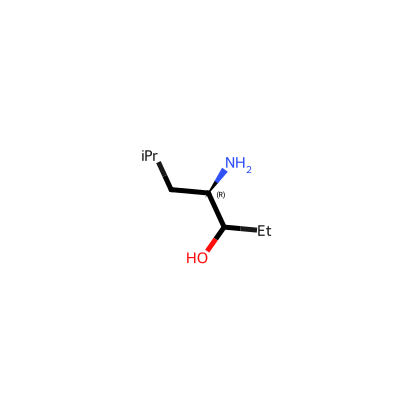 CCC(O)[C@H](N)CC(C)C